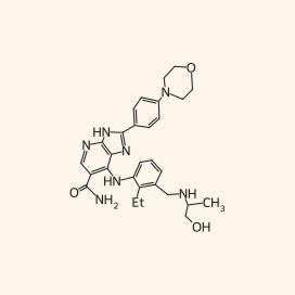 CCc1c(CNC(C)CO)cccc1Nc1c(C(N)=O)cnc2[nH]c(-c3ccc(N4CCOCC4)cc3)nc12